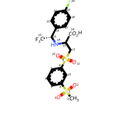 CS(=O)(=O)c1cccc(S(=O)(=O)CC(N[C@@H](c2ccc(F)cc2)C(F)(F)F)C(=O)O)c1